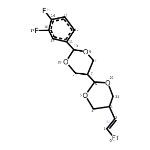 CC/C=C/C1COC(C2COC(c3ccc(F)c(F)c3)OC2)OC1